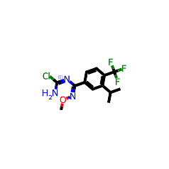 CON=C(/N=C(\N)Cl)c1ccc(C(F)(F)F)c(C(C)C)c1